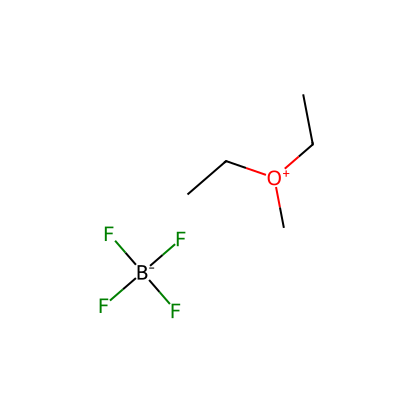 CC[O+](C)CC.F[B-](F)(F)F